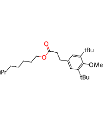 COc1c(C(C)(C)C)cc(CCC(=O)OCCCCCC(C)C)cc1C(C)(C)C